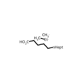 CCCCCCCCCCCC(=O)O.C[CH]C.[CH3]